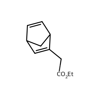 CCOC(=O)CC1=CC2C=CC1C2